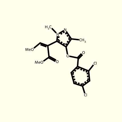 COC=C(C(=O)OC)c1c(OC(=O)c2ccc(Cl)cc2Cl)c(C)nn1C